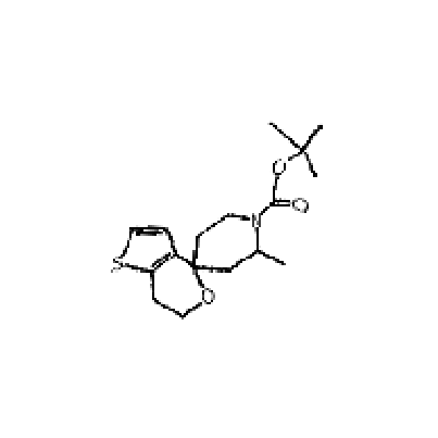 CC1CC2(CCN1C(=O)OC(C)(C)C)OCCc1sccc12